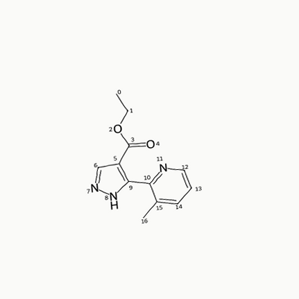 CCOC(=O)c1cn[nH]c1-c1ncccc1C